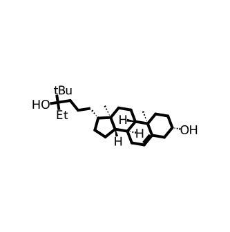 CCC(O)(CCC[C@H]1CC[C@H]2[C@@H]3CC=C4C[C@@H](O)CC[C@]4(C)[C@H]3CC[C@]12C)C(C)(C)C